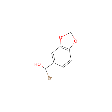 OC(Br)c1ccc2c(c1)OCO2